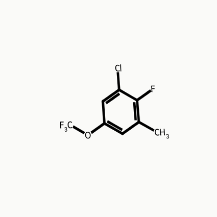 Cc1cc(OC(F)(F)F)cc(Cl)c1F